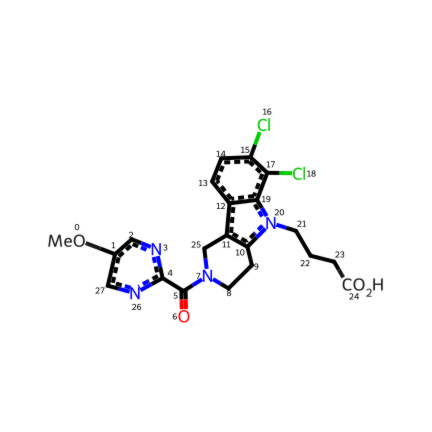 COc1cnc(C(=O)N2CCc3c(c4ccc(Cl)c(Cl)c4n3CCCC(=O)O)C2)nc1